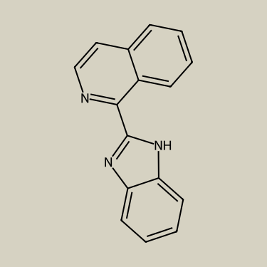 c1ccc2c(-c3nc4ccccc4[nH]3)nccc2c1